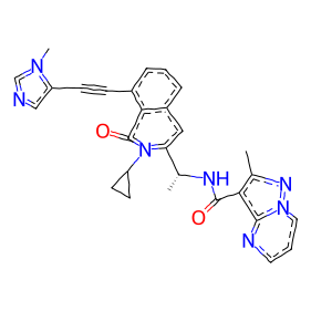 Cc1nn2cccnc2c1C(=O)N[C@H](C)c1cc2cccc(C#Cc3cncn3C)c2c(=O)n1C1CC1